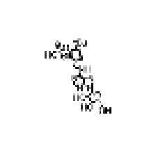 CC(C)(C)c1ccc(CNc2ncnc3c2ncn3[C@@H]2O[C@H](CO)[C@@H](O)[C@H]2O)cc1OP(=O)(O)O